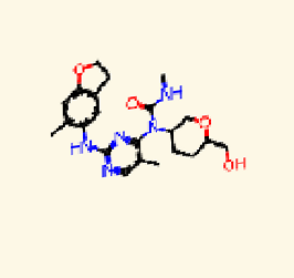 CNC(=O)N(c1nc(Nc2cc3c(cc2C)OCC3)ncc1C)C1CCC(CO)OC1